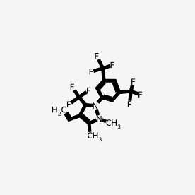 C=CC1=C(C)N(C)N(c2cc(C(F)(F)F)cc(C(F)(F)F)c2)C1C(F)(F)F